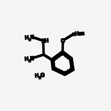 CCCCCCOc1ccccc1C(N)NN.O